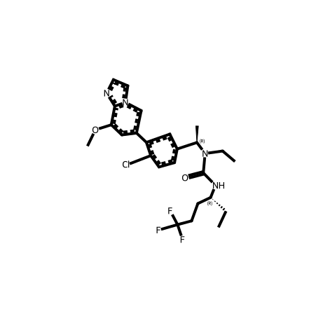 CC[C@H](CCC(F)(F)F)NC(=O)N(CC)[C@H](C)c1ccc(Cl)c(-c2cc(OC)c3nccn3c2)c1